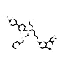 CCC[C@@H](CCCNc1ncc(C#N)c(-c2cn[nH]c2C)n1)N(C(=O)NCc1ccccc1)c1ccc(-c2cnc(OC)nc2)cn1